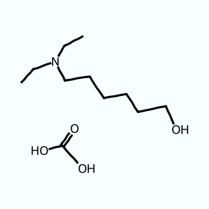 CCN(CC)CCCCCCO.O=C(O)O